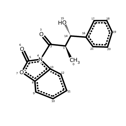 C[C@@H](C(=O)n1c(=O)oc2ccccc21)[C@H](O)c1ccccc1